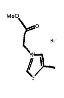 COC(=O)C[n+]1csc(C)c1.[Br-]